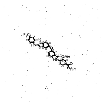 CCCOC(=O)N1CCC(NC(=O)c2cc(Oc3ccc4[nH]c(Nc5ccc(C(F)(F)F)cc5)nc4c3)ccn2)[C@H](OC)C1